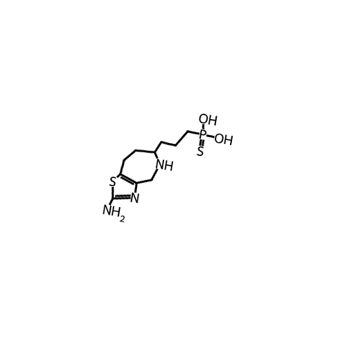 Nc1nc2c(s1)CCC(CCCP(O)(O)=S)NC2